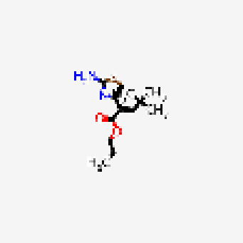 CCCOC(=O)/C(=C/C(C)(C)C)c1csc(N)n1